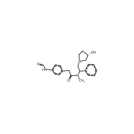 CN(C(=O)Cc1ccc(NC=O)cc1)C(CN1CC[C@H](O)C1)c1ccccc1